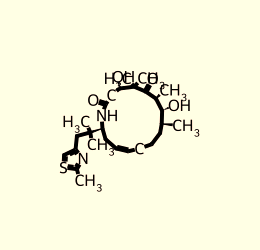 Cc1nc(CC(C)(C)[C@@H]2C/C=C\CCC[C@H](C)[C@@H](O)[C@H](C)C(=O)C(C)(C)[C@@H](O)CC(=O)N2)cs1